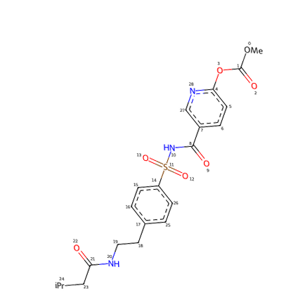 COC(=O)Oc1ccc(C(=O)NS(=O)(=O)c2ccc(CCNC(=O)CC(C)C)cc2)cn1